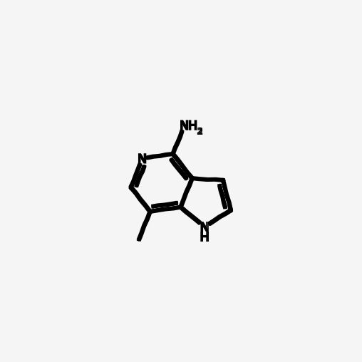 Cc1cnc(N)c2cc[nH]c12